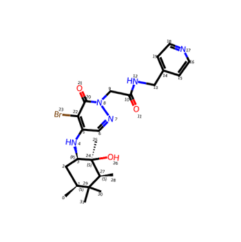 C[C@H]1C[C@@H](Nc2cnn(CC(=O)NCc3ccncc3)c(=O)c2Br)[C@@](C)(O)[C@@H](C)C1(C)C